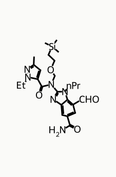 CCCn1c(N(COCC[Si](C)(C)C)C(=O)c2cc(C)nn2CC)nc2cc(C(N)=O)cc(C=O)c21